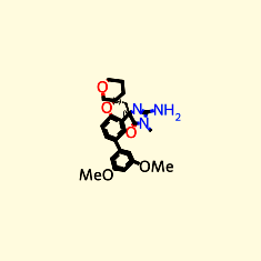 COc1cc(OC)cc(-c2ccc3c(c2)[C@]2(C[C@]4(CCCOC4)O3)N=C(N)N(C)C2=O)c1